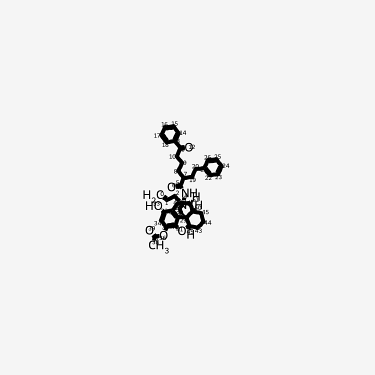 C=CC[N+]1(NC(=O)C(CCCC(=O)c2ccccc2)CCc2ccccc2)CC[C@]23c4c5c(O)cc(OC(C)=O)c4O[C@H]2CCC[C@H]3[C@H]1C5